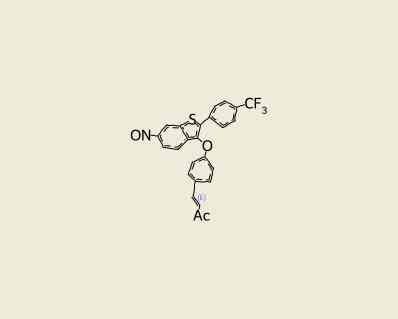 CC(=O)/C=C/c1ccc(Oc2c(-c3ccc(C(F)(F)F)cc3)sc3cc(N=O)ccc23)cc1